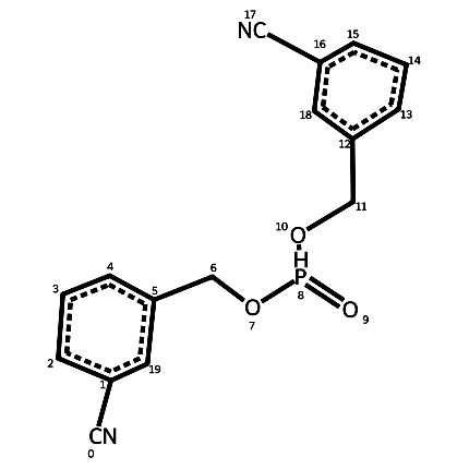 N#Cc1cccc(CO[PH](=O)OCc2cccc(C#N)c2)c1